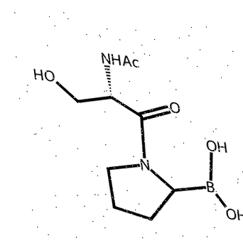 CC(=O)N[C@@H](CO)C(=O)N1CCCC1B(O)O